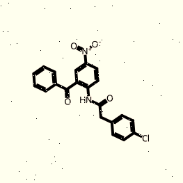 O=C(Cc1ccc(Cl)cc1)Nc1ccc([N+](=O)[O-])cc1C(=O)c1ccccc1